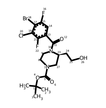 CC(C)(C)OC(=O)N1CCN(C(=O)c2cc(F)c(Br)c(Cl)c2F)[C@@H](CCO)C1